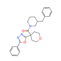 O=C(N1CCCC(Cc2ccccc2)C1)C1(c2nnc(-c3ccccc3)o2)CCOCC1